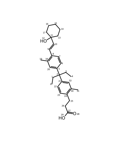 CCC(CC)(c1ccc(C=CC2(O)CCCCC2)c(C)c1)c1ccc(CCC(=O)O)c(C)c1